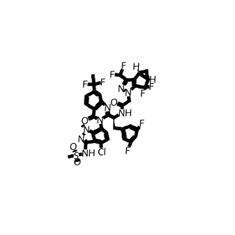 Cn1nc(NS(C)(=O)=O)c2c(Cl)ccc(-n3c([C@H](Cc4cc(F)cc(F)c4)NC(=O)Cn4nc(C(F)F)c5c4C(F)(F)[C@@H]4C[C@H]54)nc4cc(C(C)(F)F)ccc4c3=O)c21